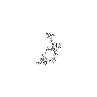 C=C(C)C(=O)N1CC2(CCN(C(=O)N(C)C(C(=O)N[C@H]3Cc4nc(cs4)-c4ccc5c(c4)c(c(-c4cccnc4[C@H](C)OC)n5CC)CC(C)(C)COC(=O)[C@@H]4CCCN(N4)C3=O)C(C)C)CC2)C1